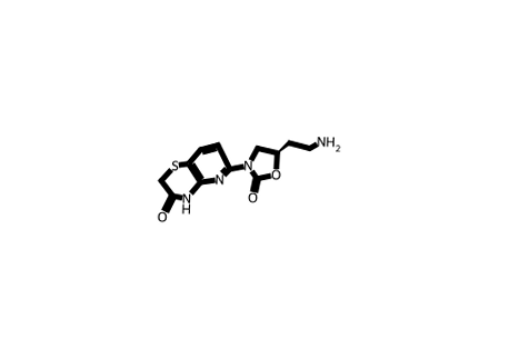 NCC[C@@H]1CN(c2ccc3c(n2)NC(=O)CS3)C(=O)O1